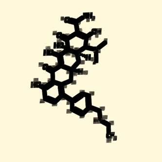 CN(C)C1C(O)=C(C(N)=O)C(=O)[C@]2(O)C(O)=C3C(=O)c4c(O)ccc(-c5ccc(CNCC(F)(F)F)cc5)c4C[C@H]3C[C@H]12